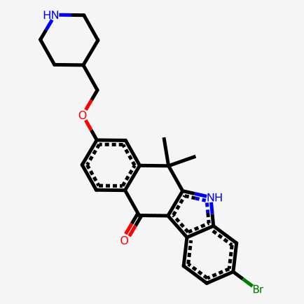 CC1(C)c2cc(OCC3CCNCC3)ccc2C(=O)c2c1[nH]c1cc(Br)ccc21